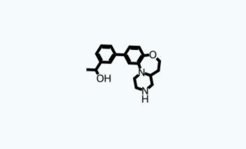 CC(O)c1cccc(-c2ccc3c(c2)N2CCNCC2CCO3)c1